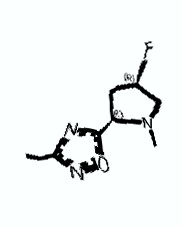 Cc1noc([C@H]2C[C@@H](F)CN2C)n1